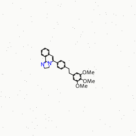 COc1cc(CCc2ccc(C3=Cc4ccccc4C4=NCCN34)cc2)cc(OC)c1OC